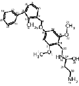 COc1cc(OCc2cccc(-c3ccccc3)c2C)cc(OC)c1CNC(O)CCN